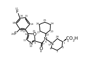 O=C(O)[C@H]1CCCN(N(C(=O)c2ncc(-c3ccc(F)cc3F)o2)C2CCCCC2)C1